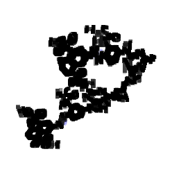 CC(=O)Nc1cc(Nc2nc(F)nc(NCCCNc3nc(F)nc(Nc4ccc(/N=N/c5cc(S(=O)(=O)O)c6cccc(S(=O)(=O)O)c6c5)c(NC(C)=O)c4)n3)n2)ccc1/N=N/c1cc(S(=O)(=O)O)c2cccc(S(=O)(=O)O)c2c1